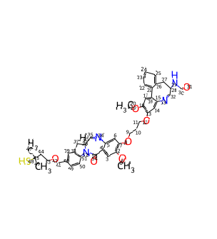 COc1cc2c(cc1OCCCOc1cc3c(cc1OC)-c1ccccc1CC(NC=O)/C=N\3)N=C[C@@H]1Cc3cc(COCCC(C)(C)S)ccc3N1C2=O